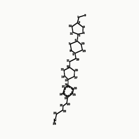 CCC1CCC(C2CCC(CCC3CCC(c4ccc(CCCCF)cc4)CC3)CC2)CC1